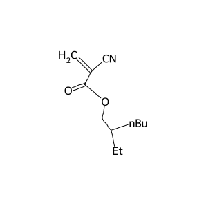 C=C(C#N)C(=O)OCC(CC)CCCC